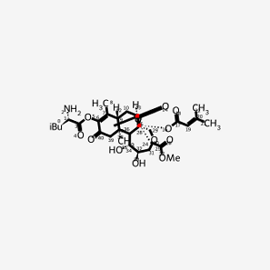 CC[C@H](C)[C@H](N)C(=O)OC1=C(C)[C@@H]2C[C@H]3OC(=O)[C@H](OC(=O)C=C(C)C)[C@@H](CC(=O)OC)[C@]34COC[C@@H](O)[C@H](O)C4[C@@]2(C)CC1=O